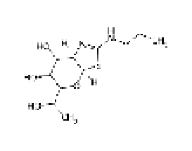 CCCNC1=N[C@@H]2[C@@H](O)[C@H](O)C([C@H](C)O)O[C@@H]2S1